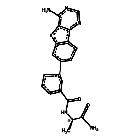 C[C@@H](NC(=O)c1cccc(-c2ccc3c(c2)sc2c(N)ncnc23)c1)C(N)=O